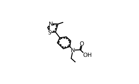 CCN(C(=O)O)c1ccc(-c2scnc2C)cc1